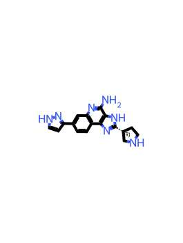 Nc1nc2cc(-c3cc[nH]n3)ccc2c2nc([C@@H]3CCNC3)[nH]c12